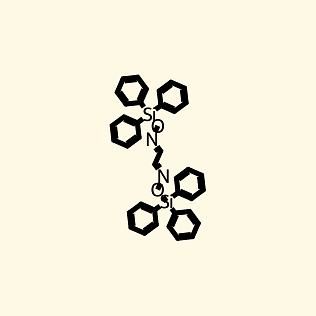 C(C=NO[Si](c1ccccc1)(c1ccccc1)c1ccccc1)=NO[Si](c1ccccc1)(c1ccccc1)c1ccccc1